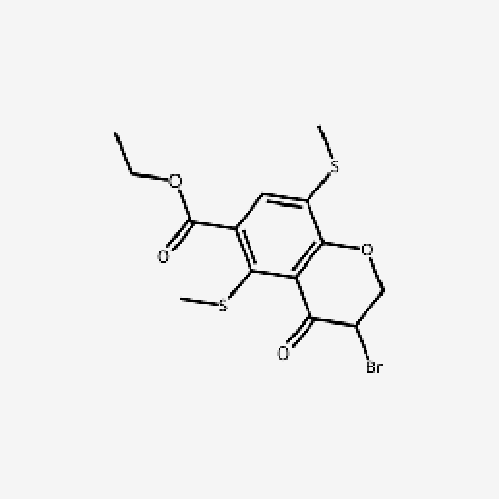 CCOC(=O)c1cc(SC)c2c(c1SC)C(=O)C(Br)CO2